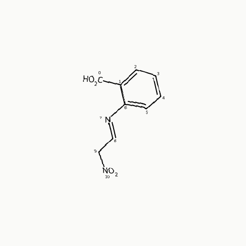 O=C(O)c1ccccc1N=CC[N+](=O)[O-]